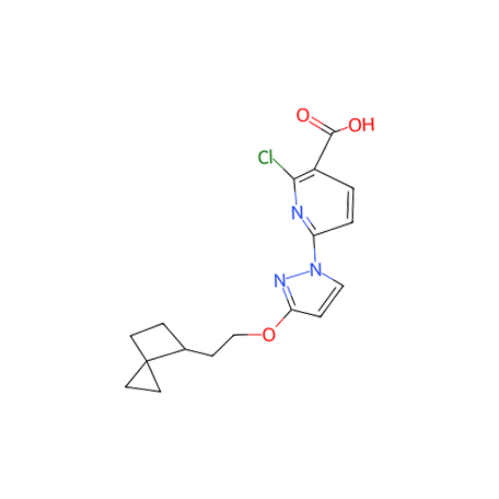 O=C(O)c1ccc(-n2ccc(OCCC3CCC34CC4)n2)nc1Cl